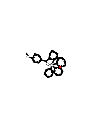 COc1ccc(C2OP(c3ccccc3)(c3ccccc3)(c3ccccc3)c3ccccc32)cc1